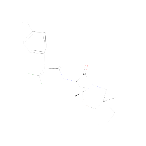 CC(=O)OCC1(C(=O)O)CS[C@@H]2C(NC(=O)C(=C(Cl)Cl)c3ccc(C)cc3)C(=O)N2C1